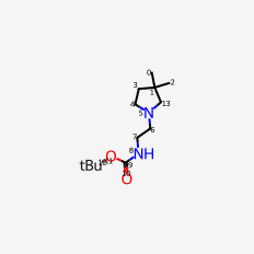 CC1(C)CCN(CCNC(=O)OC(C)(C)C)C1